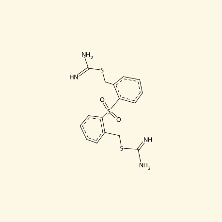 N=C(N)SCc1ccccc1S(=O)(=O)c1ccccc1CSC(=N)N